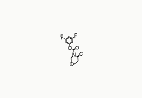 O=C1CC2CC2CN1C(=O)Oc1cc(F)cc(F)c1